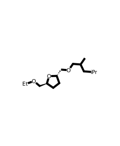 CCOC[C@@H]1CC[C@@H](COCC(C)CC(C)C)O1